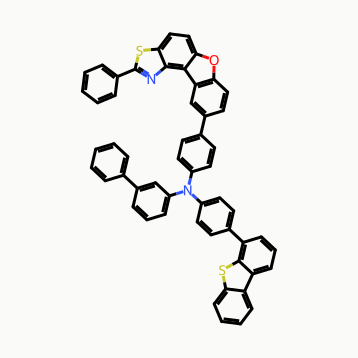 c1ccc(-c2cccc(N(c3ccc(-c4ccc5oc6ccc7sc(-c8ccccc8)nc7c6c5c4)cc3)c3ccc(-c4cccc5c4sc4ccccc45)cc3)c2)cc1